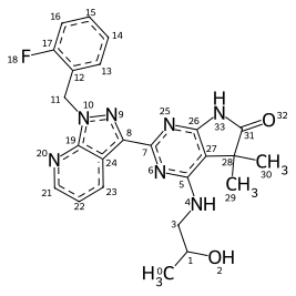 CC(O)CNc1nc(-c2nn(Cc3ccccc3F)c3ncccc23)nc2c1C(C)(C)C(=O)N2